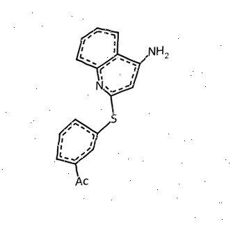 CC(=O)c1cccc(Sc2cc(N)c3ccccc3n2)c1